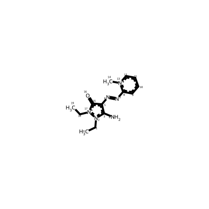 CCn1c(N)c(/N=N/c2cccc[n+]2C)c(=O)n1CC